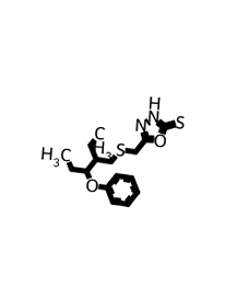 CCC(CSCc1n[nH]c(=S)o1)C(CC)Oc1ccccc1